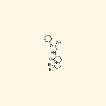 CCC1(CC)CCc2ccc(NCC(O)Oc3ccccc3)c(=O)n21